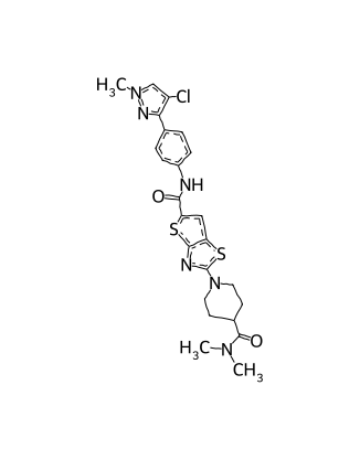 CN(C)C(=O)C1CCN(c2nc3sc(C(=O)Nc4ccc(-c5nn(C)cc5Cl)cc4)cc3s2)CC1